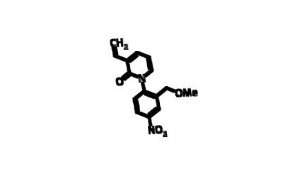 C=Cc1cccn(-c2ccc([N+](=O)[O-])cc2COC)c1=O